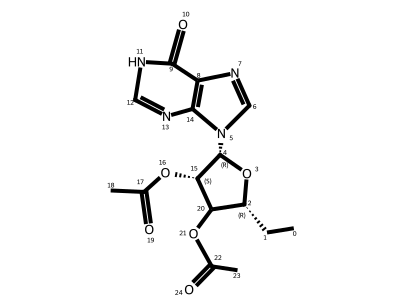 CC[C@H]1O[C@@H](n2cnc3c(=O)[nH]cnc32)[C@@H](OC(C)=O)C1OC(C)=O